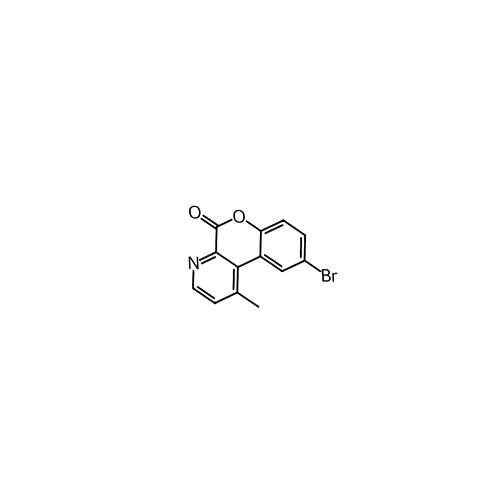 Cc1ccnc2c(=O)oc3ccc(Br)cc3c12